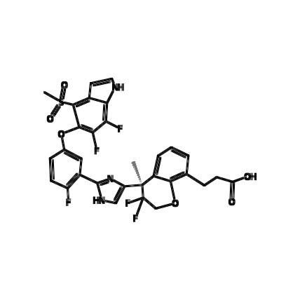 C[C@]1(c2c[nH]c(-c3cc(Oc4c(F)c(F)c5[nH]ccc5c4S(C)(=O)=O)ccc3F)n2)c2cccc(CCC(=O)O)c2OCC1(F)F